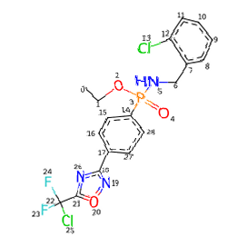 CCOP(=O)(NCc1ccccc1Cl)c1ccc(-c2noc(C(F)(F)Cl)n2)cc1